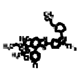 CCOC(=O)[C@@H](OC(C)(C)C)c1c(C)cc2nc(-c3ccc4c(c3)c(C3CCCN(CCOC)C3)nn4C)sc2c1-c1ccc(Cl)cc1